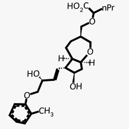 CCCC(OC[C@@H]1CC[C@@H]2[C@@H](/C=C/[C@@H](O)COc3ccccc3C)[C@H](O)C[C@@H]2OC1)C(=O)O